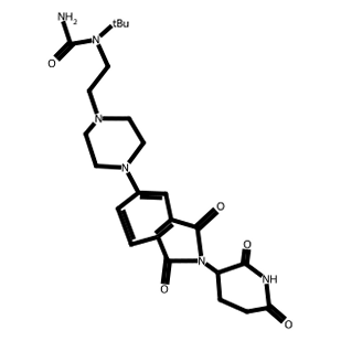 CC(C)(C)N(CCN1CCN(c2ccc3c(c2)C(=O)N(C2CCC(=O)NC2=O)C3=O)CC1)C(N)=O